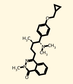 C[C@H](CCc1nn(C)c(=O)c2ccccc12)[C@H](c1ccc(OCC2CC2)cc1)N(C)C